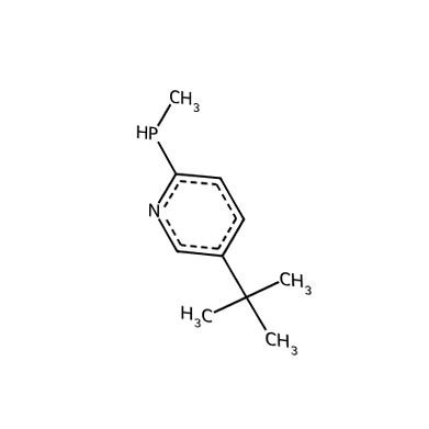 CPc1ccc(C(C)(C)C)cn1